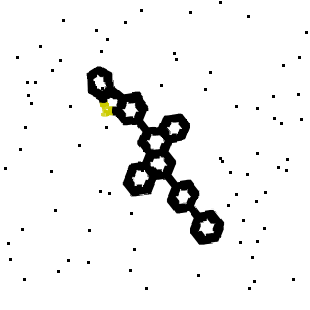 c1ccc(-c2ccc(-c3cc4c5ccccc5c(-c5ccc6c(c5)sc5ccccc56)cc4c4ccccc34)cc2)cc1